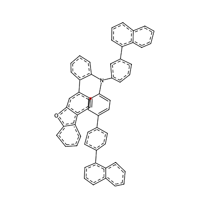 c1c(-c2ccccc2N(C2=CC=C(c3ccc(-c4cccc5ccccc45)cc3)CC2)c2cccc(-c3cccc4ccccc34)c2)cc2oc3ccccc3c2c#1